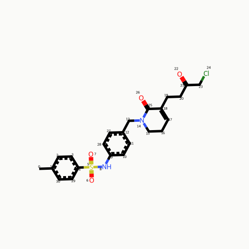 Cc1ccc(S(=O)(=O)Nc2ccc(CN3CCC=C(CCC(=O)CCl)C3=O)cc2)cc1